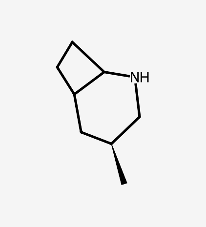 C[C@@H]1CNC2CCC2C1